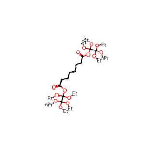 CCCOC(OCC)(OCC)C(OCC)(OCC)OC(=O)CCCCCCC(=O)OC(OCC)(OCC)C(OCC)(OCC)OCCC